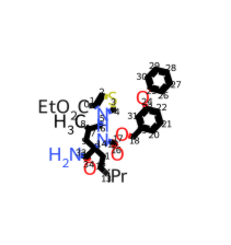 CCOC(=O)C1=CSCN1CC(C)CC(CCC(C)C)(NC(=O)OCc1cccc(Oc2ccccc2)c1)C(N)=O